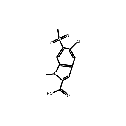 Cn1c(C(=O)O)cc2cc(Cl)c(S(C)(=O)=O)cc21